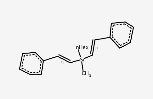 CCCCCC[Si](C)(/C=C/c1ccccc1)/C=C/c1ccccc1